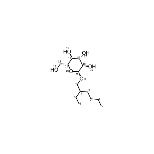 CCCCC(CC)CO[C@H]1O[C@H](CO)[C@@H](O)[C@H](O)[C@H]1O